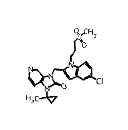 CC1(n2c(=O)n(Cc3cc4cc(Cl)ccc4n3CCCS(C)(=O)=O)c3cnccc32)CC1